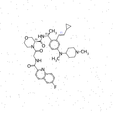 C[C@H](NC(=O)[C@@H]1COCCN1C(=O)CNC(=O)c1ccc2cc(F)ccc2n1)c1ccc(N(C)C2CCN(C)CC2)cc1/C=C/C1CC1